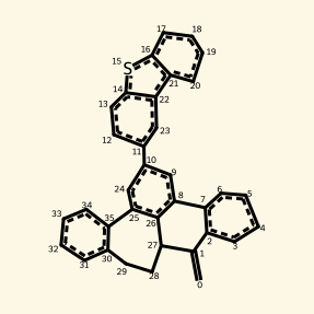 C=C1c2ccccc2-c2cc(-c3ccc4sc5ccccc5c4c3)cc3c2C1CCc1ccccc1-3